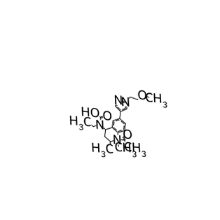 CCN(C(=O)O)[C@@H]1C[C@H](C)[N+](C)(C(C)=O)c2ccc(-c3cnn(CCOC)c3)cc21